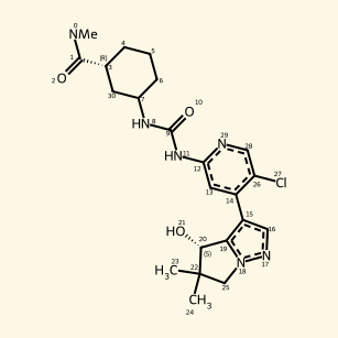 CNC(=O)[C@@H]1CCCC(NC(=O)Nc2cc(-c3cnn4c3[C@@H](O)C(C)(C)C4)c(Cl)cn2)C1